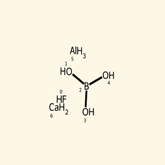 F.OB(O)O.[AlH3].[CaH2]